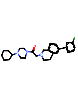 O=C(CN1CCc2cc(-c3cccc(Cl)c3)ccc2C1)N1CCN(C2CCCCC2)CC1